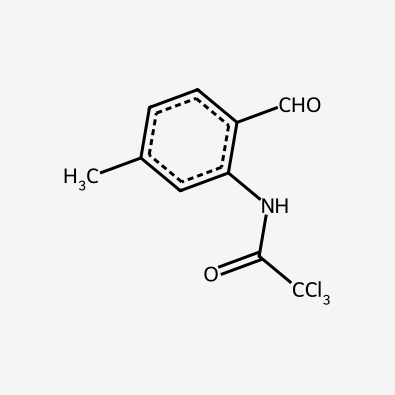 Cc1ccc(C=O)c(NC(=O)C(Cl)(Cl)Cl)c1